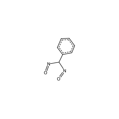 O=NC(N=O)c1ccccc1